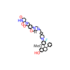 COc1cc(N2CCC3(CC2)CC(CN2CCN4c5cc6c(cc5OC[C@@H]4C2)C(=O)N(C2CCC(=O)NC2=O)C6)C3)c(F)cc1[C@@H]1c2ccc(O)cc2CC[C@@H]1c1ccccc1